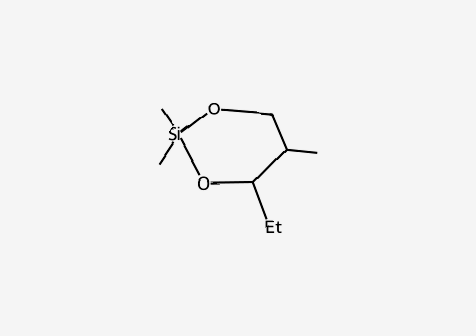 CCC1O[Si](C)(C)OCC1C